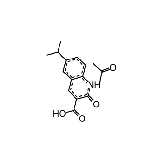 CC(C)=O.CC(C)c1ccc2[nH]c(=O)c(C(=O)O)cc2c1